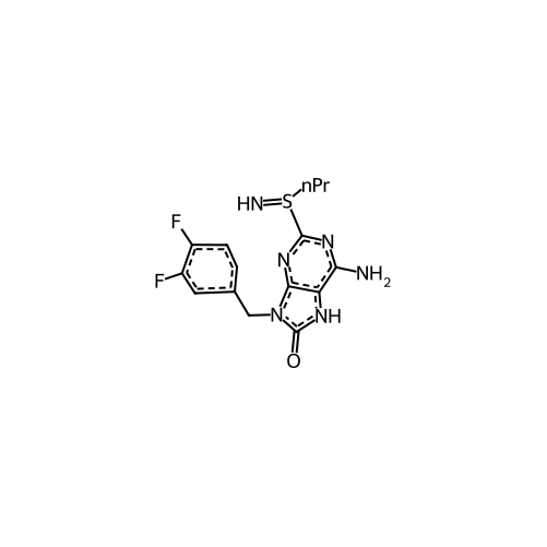 CCCS(=N)c1nc(N)c2[nH]c(=O)n(Cc3ccc(F)c(F)c3)c2n1